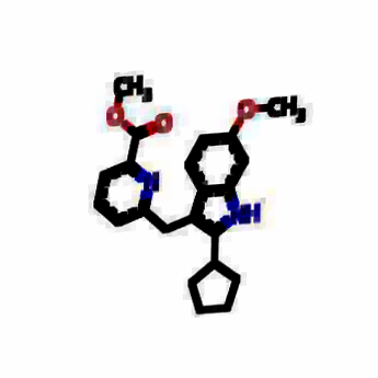 COC(=O)c1cccc(Cc2c(C3CCCC3)[nH]c3cc(OC)ccc23)n1